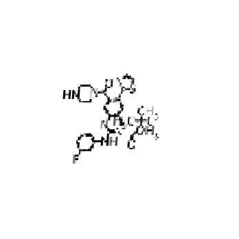 CC(C)(C)OC=O.O=C(c1cc2nc(Nc3cccc(F)c3)ncc2cc1-c1nccs1)N1CCNCC1